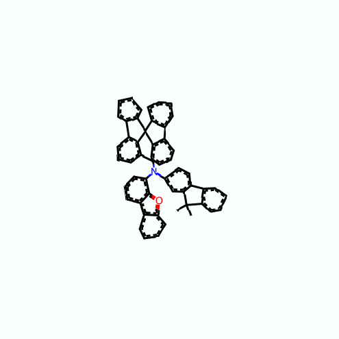 CC1(C)c2ccccc2-c2ccc(N(Cc3cccc4c3C3(c5ccccc5-c5ccccc53)c3ccccc3-4)c3cccc4c3oc3ccccc34)cc21